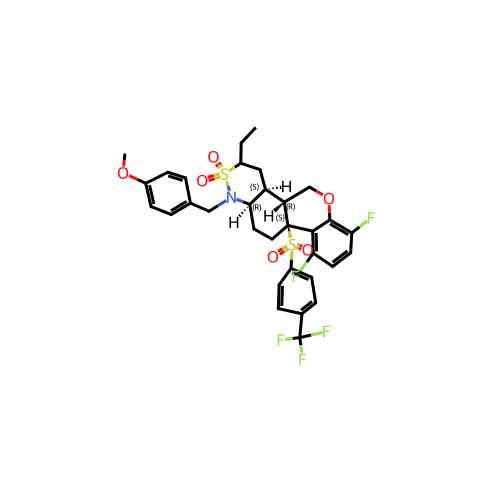 CCC1C[C@@H]2[C@@H](CC[C@@]3(S(=O)(=O)c4ccc(C(F)(F)F)cc4)c4c(F)ccc(F)c4OC[C@@H]23)N(Cc2ccc(OC)cc2)S1(=O)=O